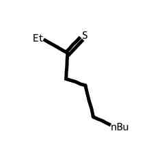 CCCCCCCC(=S)CC